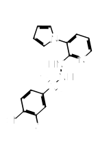 O=S(=O)(NNc1ncccc1-n1cccc1)c1ccc(Cl)c(Cl)c1